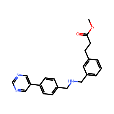 COC(=O)CCc1cccc(CNCc2ccc(-c3cncnc3)cc2)c1